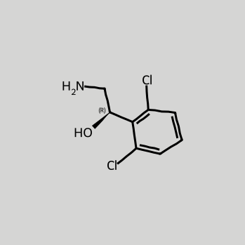 NC[C@H](O)c1c(Cl)cccc1Cl